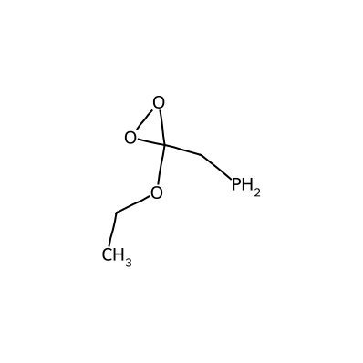 CCOC1(CP)OO1